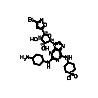 CCc1cc([C@H]2O[C@@H](n3cnc4c(NC5CCS(=O)(=O)CC5)nc(NC5CCC(N)CC5)nc43)[C@H](O)[C@@H]2O)on1